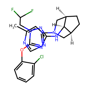 Cc1cc(N2C[C@H]3CC[C@@H](C2)[C@H]3Nc2nc(Oc3ccccc3Cl)n(CC(F)F)n2)ncn1